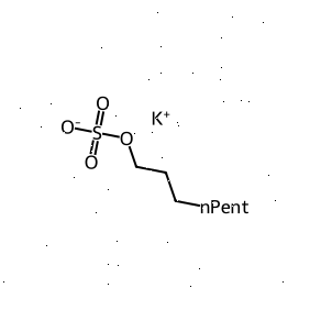 CCCCCCCCOS(=O)(=O)[O-].[K+]